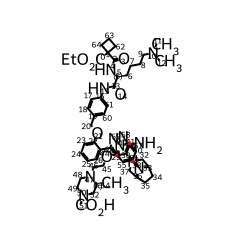 CCOC(=O)C1(C(=O)N[C@@H](CCCCN(C)C)C(=O)Nc2ccc(COc3ccccc3-c3cc(N4CC5CCC(C4)N5c4ccnc(OCCN5CCN(C(=O)O)C[C@H]5C)c4)c(N)nn3)cc2)CCC1